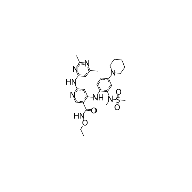 CCONC(=O)c1cnc(Nc2cc(C)nc(C)n2)cc1Nc1ccc(N2CCCCC2)cc1N(C)S(C)(=O)=O